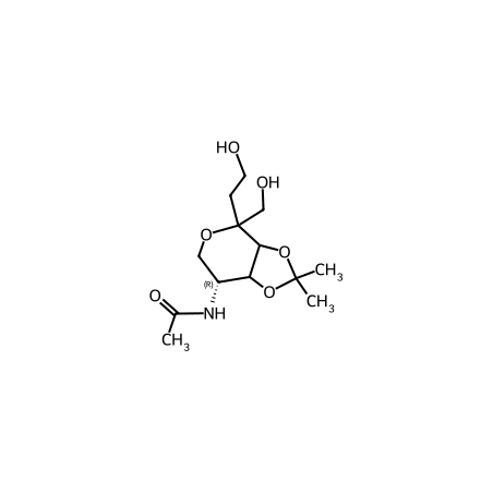 CC(=O)N[C@@H]1COC(CO)(CCO)C2OC(C)(C)OC21